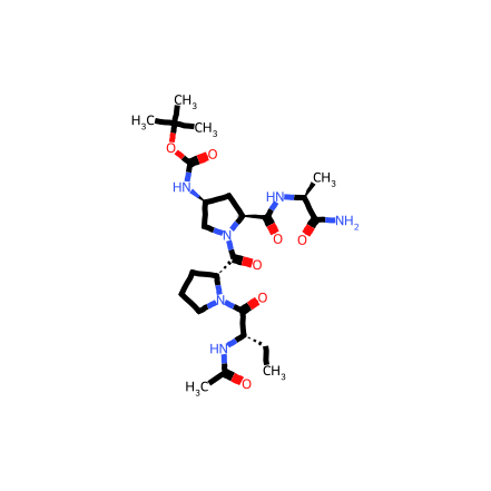 CC[C@H](NC(C)=O)C(=O)N1CCC[C@@H]1C(=O)N1C[C@@H](NC(=O)OC(C)(C)C)C[C@H]1C(=O)N[C@@H](C)C(N)=O